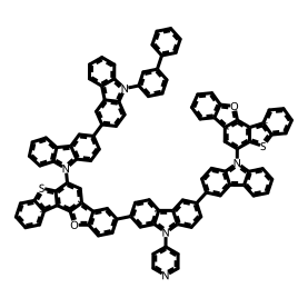 c1ccc(-c2cccc(-n3c4ccccc4c4cc(-c5ccc6c(c5)c5ccccc5n6-c5cc6c7cc(-c8ccc9c%10cc(-c%11ccc%12c(c%11)c%11ccccc%11n%12-c%11cc%12c%13ccccc%13oc%12c%12c%11sc%11ccccc%11%12)ccc%10n(-c%10ccncc%10)c9c8)ccc7oc6c6c5sc5ccccc56)ccc43)c2)cc1